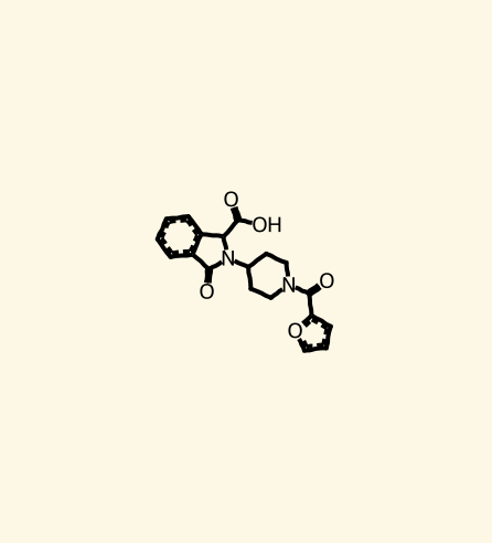 O=C(O)C1c2ccccc2C(=O)N1C1CCN(C(=O)c2ccco2)CC1